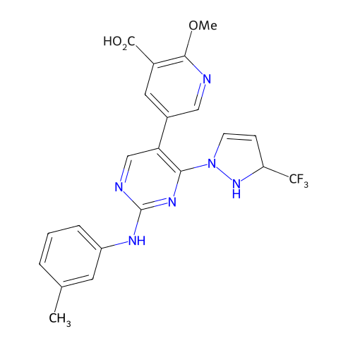 COc1ncc(-c2cnc(Nc3cccc(C)c3)nc2N2C=CC(C(F)(F)F)N2)cc1C(=O)O